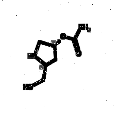 NC(=O)O[C@H]1CN[C@H](CO)C1